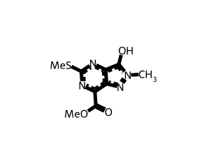 COC(=O)c1nc(SC)nc2c(O)n(C)nc12